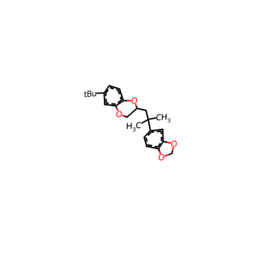 CC(C)(C)c1ccc2c(c1)OCC(CC(C)(C)c1ccc3c(c1)OCO3)O2